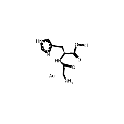 NCC(=O)N[C@@H](Cc1c[nH]cn1)C(=O)OCl.[Au]